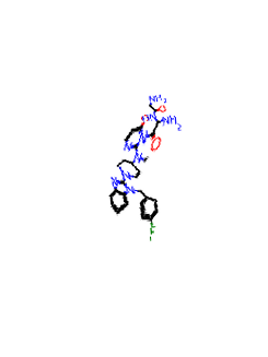 CN(c1nccc(=O)n1C(=O)C(N)NC(=O)CN)C1CCN(c2nc3ccccc3n2Cc2ccc(F)cc2)CC1